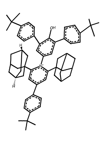 CC(C)(C)c1ccc(-c2cc(C34CC5CC(CC(C5)C3)C4)[n+](-c3cc(-c4ccc(C(C)(C)C)cc4)c(O)c(-c4ccc(C(C)(C)C)cc4)c3)c(C34CC5C[C@H](C3)C[C@H](C5)C4)c2)cc1